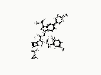 CC(=O)c1nn(CC(=O)N2[C@H](C(=O)Nc3nc(Br)ccc3C)C[C@@]3(CNC4CC4)C#C[C@@H]23)c2ccc(-c3cnc(C)nc3)cc12